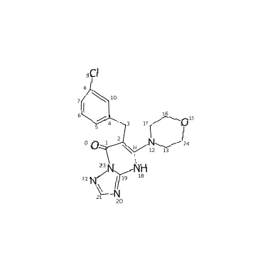 O=c1c(Cc2cccc(Cl)c2)c(N2CCOCC2)[nH]c2ncnn12